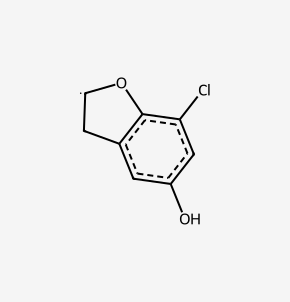 Oc1cc(Cl)c2c(c1)C[CH]O2